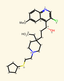 COc1ccc2ncc(Cl)c([C@H](O)CCC3(CC(=O)O)CCN(CCSC4CCCC4)CC3)c2c1